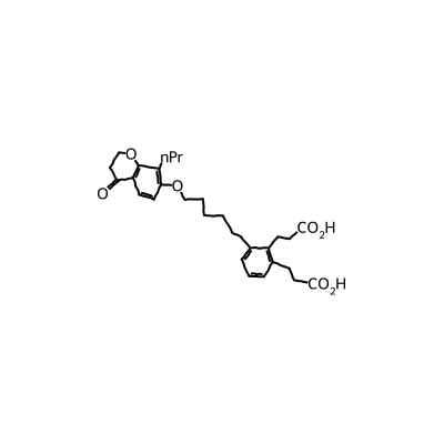 CCCc1c(OCCCCCCc2cccc(CCC(=O)O)c2CCC(=O)O)ccc2c1OCCC2=O